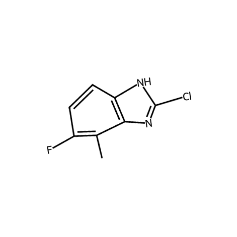 Cc1c(F)ccc2[nH]c(Cl)nc12